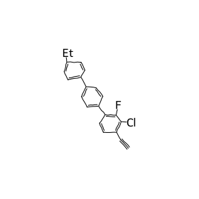 C#Cc1ccc(-c2ccc(-c3ccc(CC)cc3)cc2)c(F)c1Cl